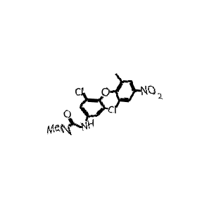 CNC(=O)Nc1cc(Cl)c(Oc2c(C)cc([N+](=O)[O-])cc2C)c(Cl)c1